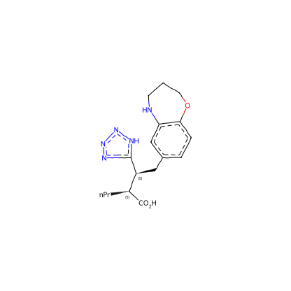 CCC[C@H](C(=O)O)[C@H](Cc1ccc2c(c1)NCCCO2)c1nnn[nH]1